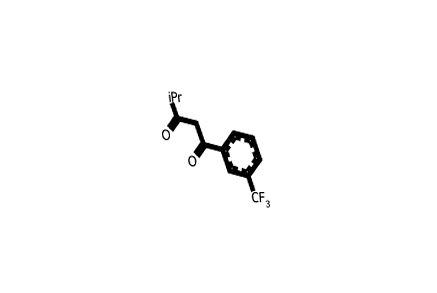 CC(C)C(=O)CC(=O)c1cccc(C(F)(F)F)c1